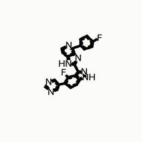 Fc1ccc(-c2nccc3[nH]c(-c4n[nH]c5ccc(-c6cncnc6)c(F)c45)nc23)cc1